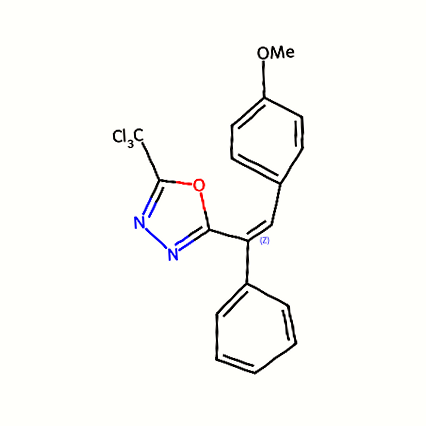 COc1ccc(/C=C(/c2ccccc2)c2nnc(C(Cl)(Cl)Cl)o2)cc1